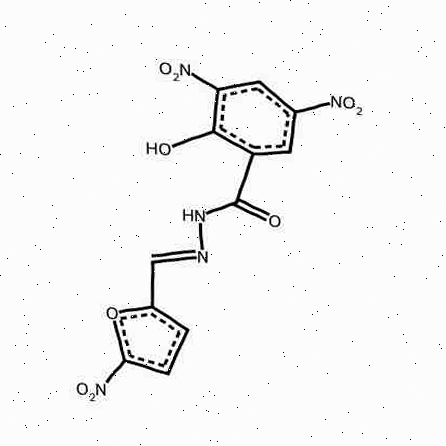 O=C(NN=Cc1ccc([N+](=O)[O-])o1)c1cc([N+](=O)[O-])cc([N+](=O)[O-])c1O